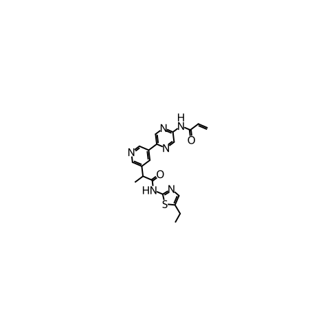 C=CC(=O)Nc1cnc(-c2cncc(C(C)C(=O)Nc3ncc(CC)s3)c2)cn1